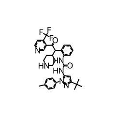 Cc1ccc(-n2nc(C(C)(C)C)cc2NC(=O)Nc2ccccc2C(C(=O)c2cnccc2C(F)(F)F)C2CCNCC2)cc1